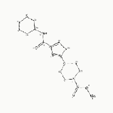 CC(C)(C)OC(=O)N1CCC(c2nc(C(=O)NC3CCCCC3)cs2)CC1